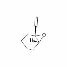 C#C[C@]12CCCC[C@H]1O2